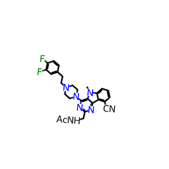 CC(=O)NCc1nc(N2CCN(CCc3ccc(F)c(F)c3)CC2)c2c(n1)c1c(C#N)cccc1n2C